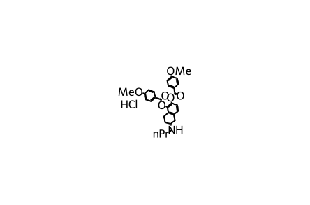 CCCNC1CCc2c(ccc(OC(=O)c3ccc(OC)cc3)c2OC(=O)c2ccc(OC)cc2)C1.Cl